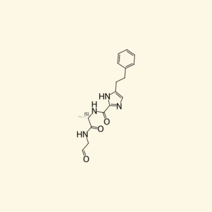 C[C@H](NC(=O)c1ncc(CCc2ccccc2)[nH]1)C(=O)NCC=O